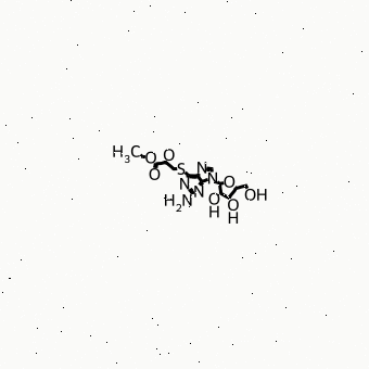 CCOC(=O)C(=O)CSc1nc(N)nc2c1ncn2C1OC(CO)C(O)C1O